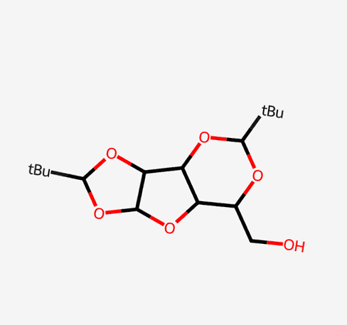 CC(C)(C)C1OC2OC3C(CO)OC(C(C)(C)C)OC3C2O1